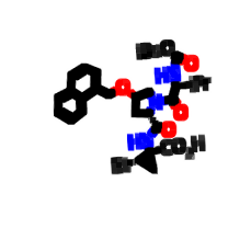 CC[C@H]1C[C@]1(NC(=O)[C@@H]1C[C@@H](OCc2cccc3ccccc23)CN1C(=O)[C@@H](NC(=O)OCC(C)C)C(C)C)C(=O)O